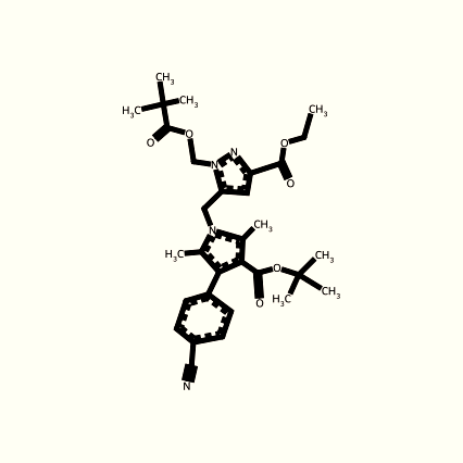 CCOC(=O)c1cc(Cn2c(C)c(C(=O)OC(C)(C)C)c(-c3ccc(C#N)cc3)c2C)n(COC(=O)C(C)(C)C)n1